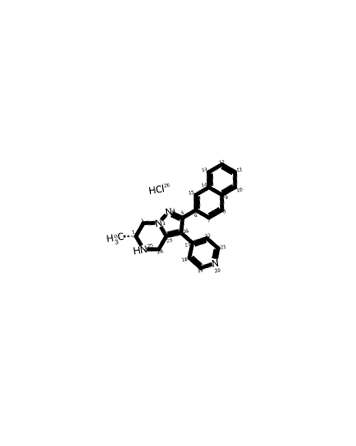 C[C@@H]1Cn2nc(-c3ccc4ccccc4c3)c(-c3ccncc3)c2CN1.Cl